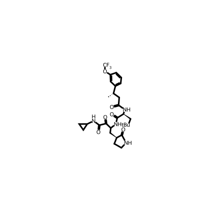 C[C@@H](CC(=O)N[C@@H](CC(C)(C)C)C(=O)NC(C[C@@H]1CCNC1=O)C(=O)C(=O)NC1CC1)c1cccc(OC(F)(F)F)c1